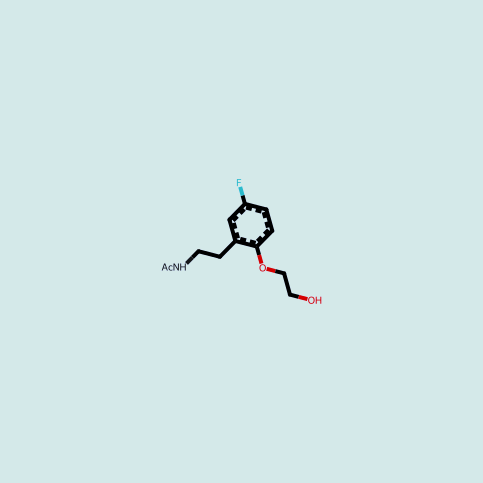 CC(=O)NCCc1cc(F)ccc1OCCO